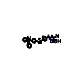 CC(=C(\C#N)C(=O)O)/C(C)=C(\C)C1=CC=C(c2ccc(-c3ccc(-c4nc5ccccc5n4-c4ccccc4)cc3)s2)SC1